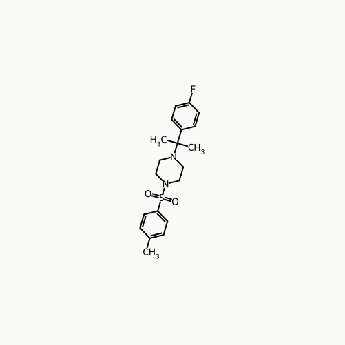 Cc1ccc(S(=O)(=O)N2CCN(C(C)(C)c3ccc(F)cc3)CC2)cc1